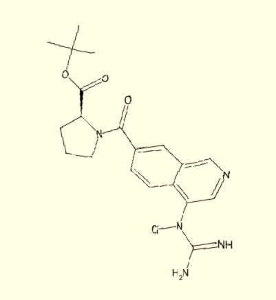 CC(C)(C)OC(=O)[C@@H]1CCCN1C(=O)c1ccc2c(N(Cl)C(=N)N)cncc2c1